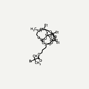 CC[SiH]1O[Si]2(CCCOC(=O)C(C)(C)Br)O[Si]3(CC)OC[SiH](C)O[Si]4(CC)O[Si](CC)(O1)O[Si](CC)(O2)O[Si](CC)(O3)O4